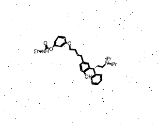 CCNC(=O)Oc1cccc(OCCCCc2ccc(O)c([C@H](CCN(C(C)C)C(C)C)c3ccccc3)c2)c1